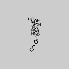 O=C(COc1ccc(C=Cc2ccccc2)cc1)Nc1ncnc2c1ncn2[C@@H]1O[C@H](CO)[C@@H](O)[C@H]1O